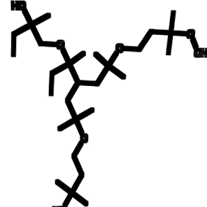 CCC(C)(O)COC(C)(CC)C(CC(C)(C)OCCC(C)(C)O)CC(C)(C)OCCC(C)(C)OO